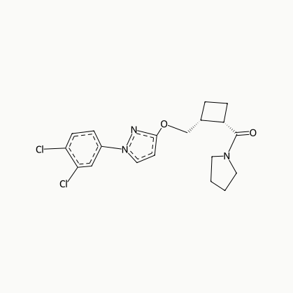 O=C([C@H]1CC[C@H]1COc1ccn(-c2ccc(Cl)c(Cl)c2)n1)N1CCCC1